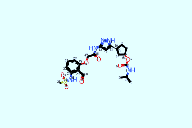 CC(C)NC(=O)O[C@@H]1CC[C@H](c2cc(NC(=O)COc3cccc(NS(C)(=O)=O)c3C=O)n[nH]2)C1